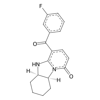 O=C(c1cccc(F)c1)c1ccc(=O)n2c1N[C@@H]1CCCC[C@@H]12